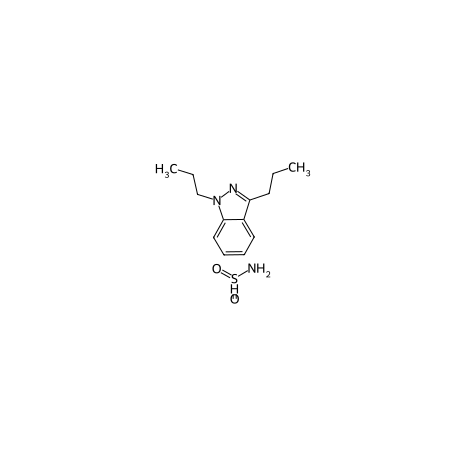 CCCc1nn(CCC)c2ccccc12.N[SH](=O)=O